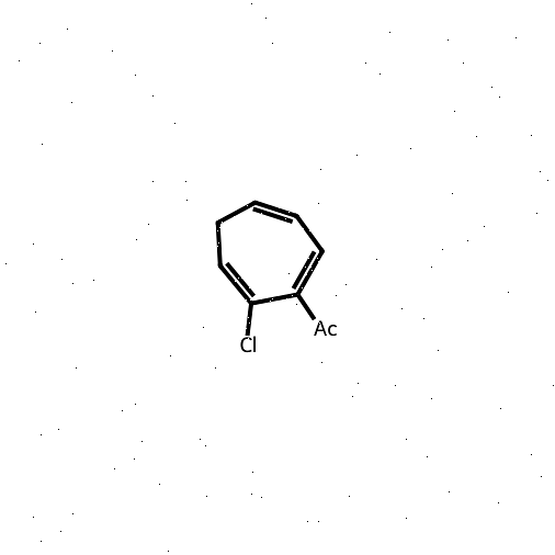 CC(=O)C1=CC=CCC=C1Cl